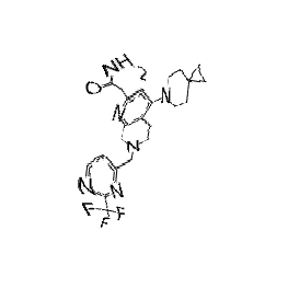 NC(=O)c1cc(N2CCC3(CC2)CC3)c2c(n1)CN(Cc1ccnc(C(F)(F)F)n1)CC2